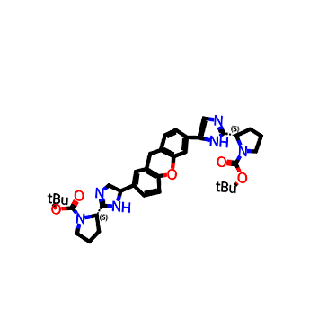 CC(C)(C)OC(=O)N1CCC[C@H]1C1=NCC(c2ccc3c(c2)Cc2ccc(-c4cnc([C@@H]5CCCN5C(=O)OC(C)(C)C)[nH]4)cc2O3)N1